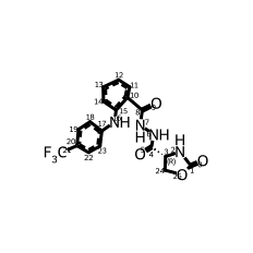 O=C1N[C@@H](C(=O)NNC(=O)c2ccccc2Nc2ccc(C(F)(F)F)cc2)CO1